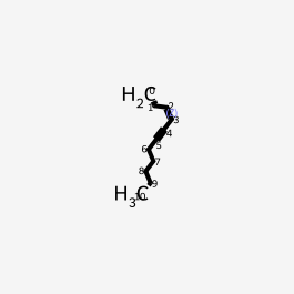 C=C/C=C\C#CCCCCC